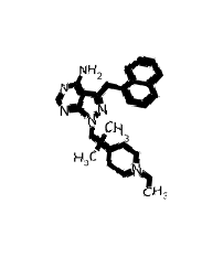 CCN1CCC(C(C)(C)Cn2nc(Cc3cccc4ccccc34)c3c(N)ncnc32)CC1